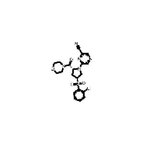 N#Cc1cncc(N2C[C@@H](S(=O)(=O)c3ccccc3Cl)C[C@@H]2C(=O)N2CCOCC2)n1